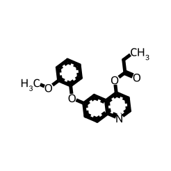 CCC(=O)Oc1ccnc2ccc(Oc3ccccc3OC)cc12